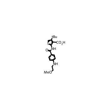 COCCNc1ccc(C(=O)Nc2scc(C(C)(C)C)c2C(=O)O)cc1